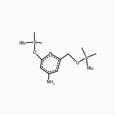 CC(C)(C)[Si](C)(C)OCc1cc(N)cc(O[Si](C)(C)C(C)(C)C)n1